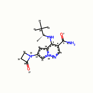 C[C@@H](Nc1c(C(N)=O)cnn2cc(N3CCC3=O)cc12)C(C)(C)C